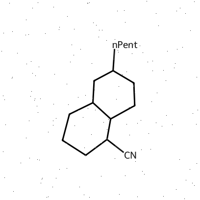 CCCCCC1CCC2C(C#N)CCCC2C1